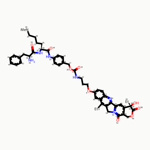 CCc1c2c(nc3ccc(OCCCNC(=O)OCc4ccc(NC(=O)[C@H](CCCCNC)NC(=O)[C@@H](N)Cc5ccccc5)cc4)cc13)-c1cc3c(c(=O)n1C2)COC(=O)[C@]3(O)CC